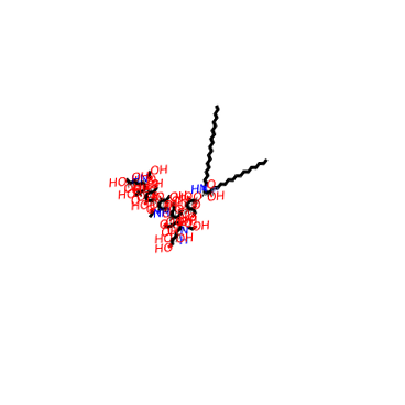 CCCCCCCCCCCCC/C=C/[C@@H](O)[C@H](CO[C@@H]1OC(CO)[C@@H](O[C@@H]2OC(CO)[C@H](O[C@@H]3OC(CO)[C@H](O)[C@H](O[C@@H]4OC(CO)[C@H](O)[C@H](O[C@]5(C(=O)O)CC(O)[C@@H](NC(=O)CO)C([C@H](O)[C@H](O)CO)O5)C4O)C3NC(C)=O)[C@H](O[C@]3(C(=O)O)CC(O)[C@@H](NC(=O)CO)C([C@H](O)[C@H](O)CO)O3)C2O)[C@H](O)C1O)NC(=O)CCCCCCCCCCCCCCCCCCC